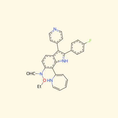 CCON(C=O)c1ccc2c(-c3ccncc3)c(-c3ccc(F)cc3)[nH]c2c1C1=CC=CC=CN1